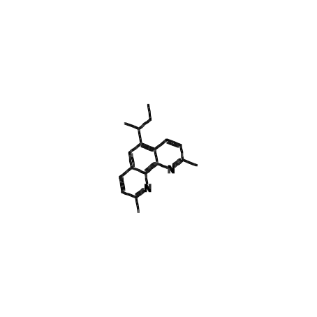 CCC(C)c1cc2ccc(C)nc2c2nc(C)ccc12